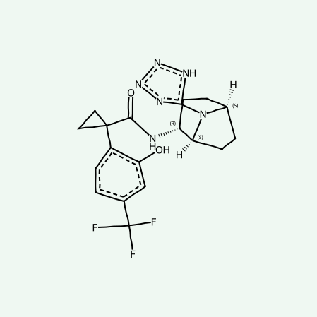 O=C(N[C@@H]1CC[C@H]2CC[C@@H]1N2c1nnn[nH]1)C1(c2ccc(C(F)(F)F)cc2O)CC1